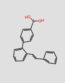 OB(O)c1ccc(-c2ccccc2C=Cc2ccccc2)cc1